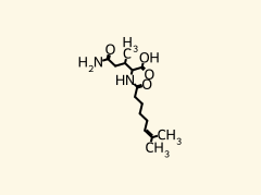 CC(C)=CCCCCC(=O)NC(C(=O)O)C(C)CC(N)=O